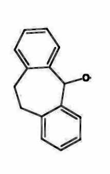 [O]C1c2ccccc2CCc2ccccc21